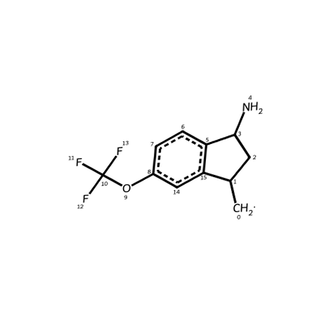 [CH2]C1CC(N)c2ccc(OC(F)(F)F)cc21